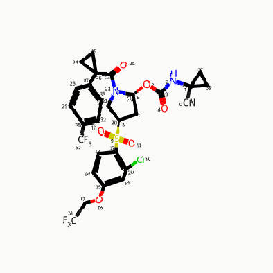 N#CC1(NC(=O)O[C@H]2C[C@@H](S(=O)(=O)c3ccc(OCC(F)(F)F)cc3Cl)CN2C(=O)C2(c3ccc(C(F)(F)F)cc3)CC2)CC1